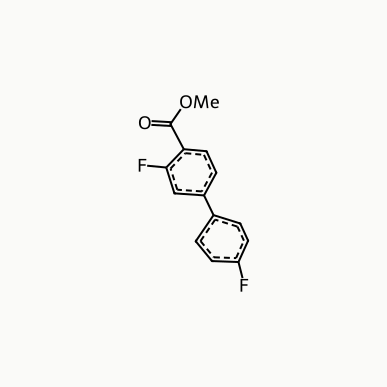 COC(=O)c1ccc(-c2ccc(F)cc2)cc1F